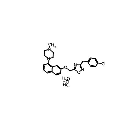 CN1CCN(c2cccc3ccc(OCc4nc(Cc5ccc(Cl)cc5)no4)cc23)CC1.Cl.Cl.O